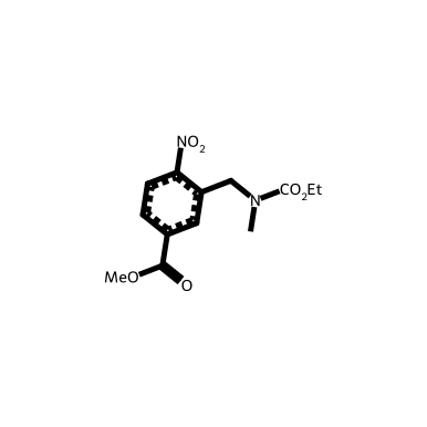 CCOC(=O)N(C)Cc1cc(C(=O)OC)ccc1[N+](=O)[O-]